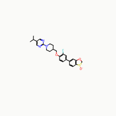 CC(C)c1cnc(N2CCC(COc3ccc(-c4ccc5c(c4)OC[S@+]5[O-])cc3F)CC2)nc1